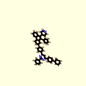 c1ccc(-c2ccc(-c3cc(-c4ccc(-c5ccc6c(c5)c(-c5ccccc5)c(-c5ccncc5)c5ccccc56)cc4)nc(-c4ccccc4)n3)cc2)cc1